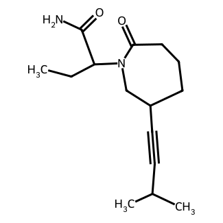 CCC(C(N)=O)N1CC(C#CC(C)C)CCCC1=O